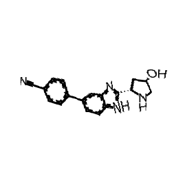 N#Cc1ccc(-c2ccc3[nH]c([C@@H]4C[C@@H](O)CN4)nc3c2)cc1